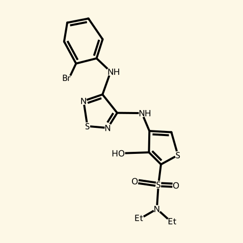 CCN(CC)S(=O)(=O)c1scc(Nc2nsnc2Nc2ccccc2Br)c1O